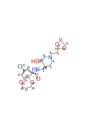 O=C(NC[C@@H]1CCN(CCC2OCCO2)CC1O)c1cc(Cl)cc2c1OCCCO2